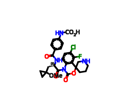 COC1(C[C@H](NC(=O)c2ccc(NC(=O)O)cc2)C(=O)N2C(=O)OC3(CCCNC3)c3c2ccc(Cl)c3F)CC1